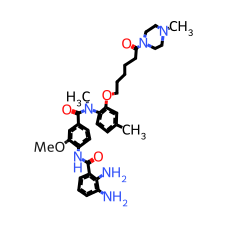 COc1cc(C(=O)N(C)c2ccc(C)cc2OCCCCCC(=O)N2CCN(C)CC2)ccc1NC(=O)c1cccc(N)c1N